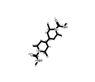 CNC(=O)N1C(C)CC(C2CC(C)N(C(=O)NC)C(C)C2)CC1C